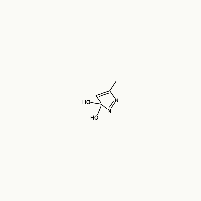 CC1=CC(O)(O)N=N1